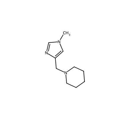 Cn1cnc(CN2CCCCC2)c1